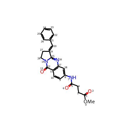 COC(=O)CCC(=O)Nc1ccc2c(=O)n3c(nc2c1)/C(=C/c1ccccc1)CC3